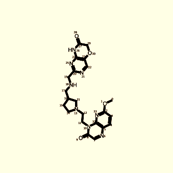 COc1ccc2ncc(=O)n(CCN3CCC(CNCc4ncc5c(n4)NC(=O)CO5)C3)c2n1